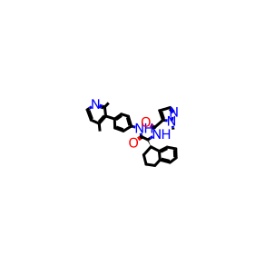 Cc1ccnc(C)c1-c1ccc(NC(=O)C(NC(=O)c2ccnn2C)[C@H]2CCCc3ccccc32)cc1